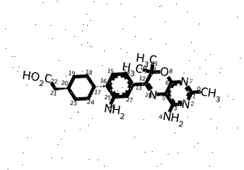 Cc1nc(N)c2c(n1)OC(C)(C)C(c1ccc([C@H]3CC[C@H](CC(=O)O)CC3)c(N)c1)=N2